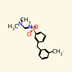 [CH2]c1cccc(Cc2cccc(S(=O)(=O)N=CN(C)C)c2)c1